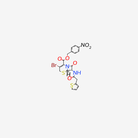 O=C(Cc1cccs1)NC1C(=O)N2C(C(=O)OCc3ccc([N+](=O)[O-])cc3)=C(Br)CS[C@@H]12